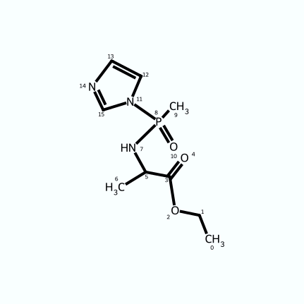 CCOC(=O)C(C)NP(C)(=O)n1ccnc1